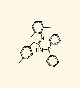 Cc1ccc(C/C(=N\c2c(C)cccc2C)NP(c2ccccc2)c2ccccc2)cc1